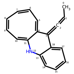 CC=C=C1C2=C/C=C\C=C/C=C\2Nc2ccccc21